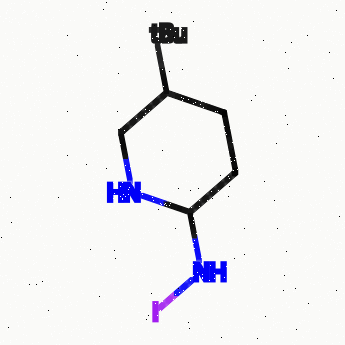 CC(C)(C)C1CCC(NI)NC1